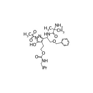 CC(C)CNC(=O)OCCc1c(C(COCc2ccccc2)NC(=O)C(C)(C)N)nn(S(C)(=O)=O)c1O